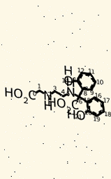 O=C(O)CNCCNC(C(=O)O)(c1ccccc1O)c1ccccc1O